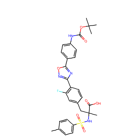 Cc1ccc(S(=O)(=O)NC(C)(Cc2ccc(-c3noc(-c4ccc(NC(=O)OC(C)(C)C)cc4)n3)c(F)c2)C(=O)O)cc1